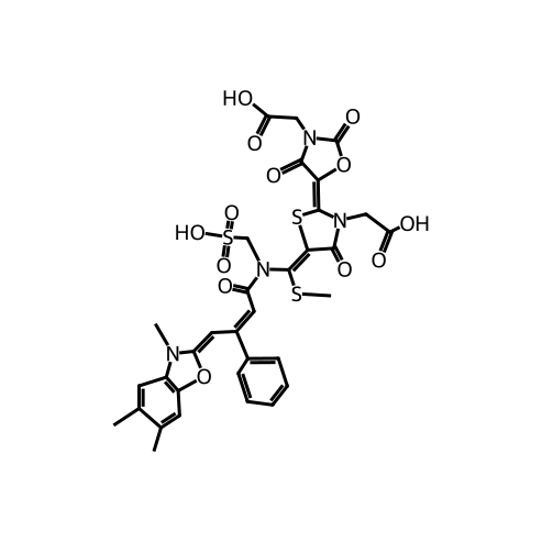 CS/C(=c1/s/c(=C2/OC(=O)N(CC(=O)O)C2=O)n(CC(=O)O)c1=O)N(CS(=O)(=O)O)C(=O)/C=C(\C=C1Oc2cc(C)c(C)cc2N1C)c1ccccc1